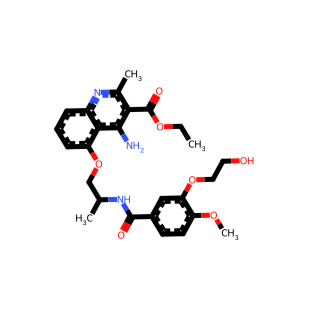 CCOC(=O)c1c(C)nc2cccc(OCC(C)NC(=O)c3ccc(OC)c(OCCO)c3)c2c1N